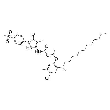 CCCCCCCCCCCCC(C)c1cc(Cl)c(C)cc1OC(C)OC(=O)Nc1[nH]n(-c2ccc(S(C)(=O)=O)cc2)c(=O)c1C